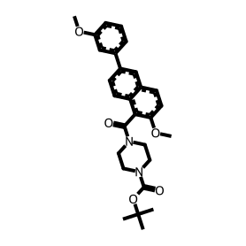 COc1cccc(-c2ccc3c(C(=O)N4CCN(C(=O)OC(C)(C)C)CC4)c(OC)ccc3c2)c1